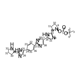 CC(C)(C)OC(=O)ON1CCC[C@H]1c1ncc(-c2cnc(-c3ccc(-c4cnc([C@@H]5CCCN5)[nH]4)cc3)nc2)[nH]1